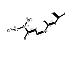 C=C(C)/C=C(C)/N=C\C=C(/C)N(CCC)CCCCC